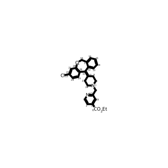 CCOC(=O)c1ccnc(CN2CCC(=C3c4ccccc4COc4cc(Cl)ccc43)CC2)c1